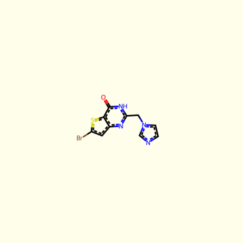 O=c1[nH]c(Cn2ccnc2)nc2cc(Br)sc12